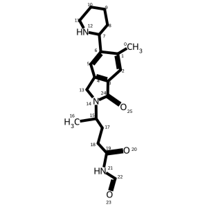 Cc1cc2c(cc1C1CCCCN1)CN(C(C)CCC(=O)NC=O)C2=O